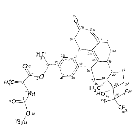 CC(OC(=O)[C@H](C)NC(=O)OC(C)(C)C)c1ccc([C@H]2C[C@@]3(C)C(CC[C@@]3(O)C(F)(F)C(F)(F)F)C3CCC4=CC(=O)CCC4=C32)cc1